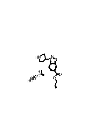 C=CC.C=CCOC(=O)c1ccc2c(c1)nnn2C1CCNCC1.Cl.Cl.Cl.Cl